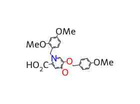 COc1ccc(COc2cn(Cc3ccc(OC)cc3OC)c(C(=O)O)cc2=O)cc1